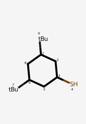 CC(C)(C)C1CC(S)CC(C(C)(C)C)C1